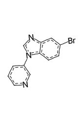 Brc1ccc2c(c1)ncn2-c1cccnc1